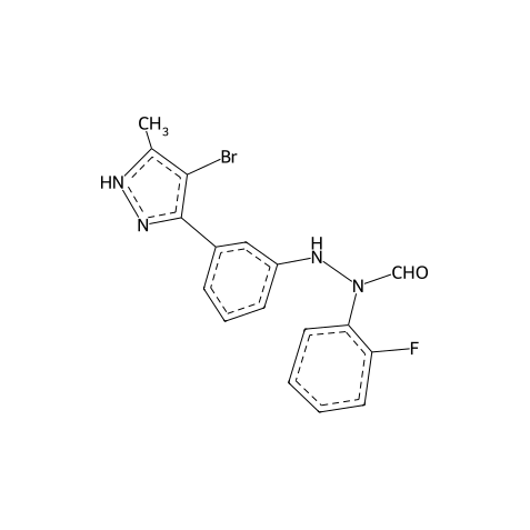 Cc1[nH]nc(-c2cccc(NN(C=O)c3ccccc3F)c2)c1Br